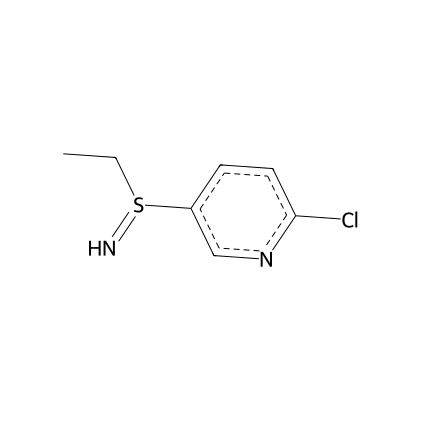 CCS(=N)c1ccc(Cl)nc1